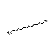 CCCCCCCOCCCCCO